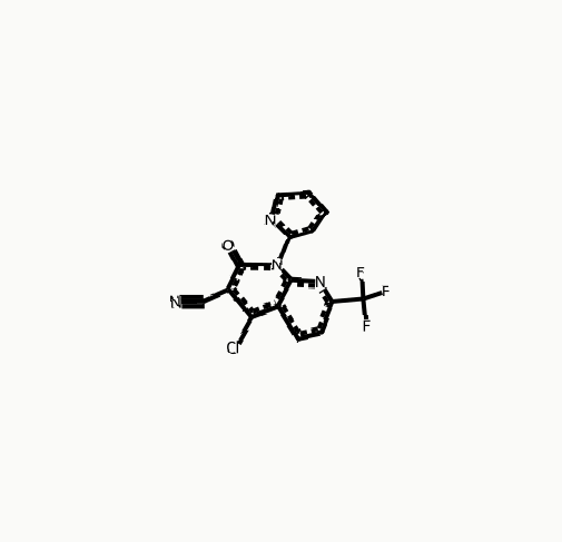 N#Cc1c(Cl)c2ccc(C(F)(F)F)nc2n(-c2ccccn2)c1=O